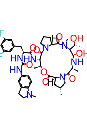 C[C@@H]1C[C@H]2C(=O)O[C@@H](C)[C@H](NC(=O)[C@H](Cc3cc(F)cc(F)c3)NC(=O)Nc3ccc4c(c3)CCN4C)C(=O)N3CCC[C@H]3C(=O)N(C)C([C@@H](C)O)[C@@H](O)N[C@@H](C)C(=O)N2C1